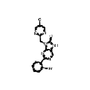 CC(C)c1ccccc1-c1ncc2[nH]c(=O)n(Cc3ncc(Cl)cn3)c2n1